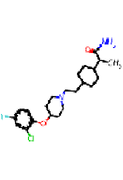 CC(C(N)=O)C1CCC(CCN2CCC(Oc3ccc(F)cc3Cl)CC2)CC1